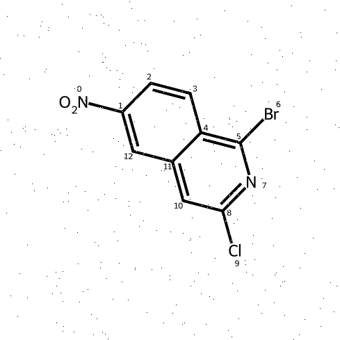 O=[N+]([O-])c1ccc2c(Br)nc(Cl)cc2c1